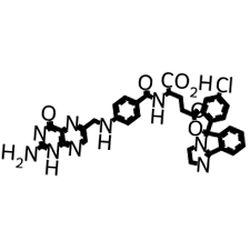 Nc1nc(=O)c2nc(CNc3ccc(C(=O)NC(CCC(=O)OC4(c5ccc(Cl)cc5)c5ccccc5C5=NCCN54)C(=O)O)cc3)cnc2[nH]1